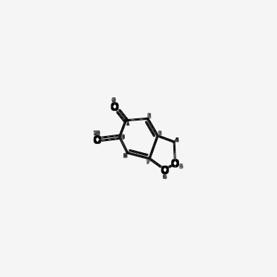 O=C1C=C2COOC2=CC1=O